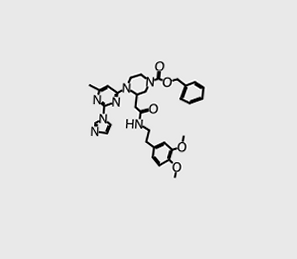 COc1ccc(CCNC(=O)CC2CN(C(=O)OCc3ccccc3)CCN2c2cc(C)nc(-n3ccnc3)n2)cc1OC